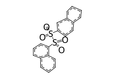 O=S(=O)(c1ccc2ccccc2c1)S(=O)(=O)c1cccc2ccccc12